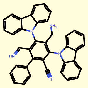 N#Cc1c(-c2ccccc2)c(C=N)c(-n2c3ccccc3c3ccccc32)c(CN)c1-n1c2ccccc2c2ccccc21